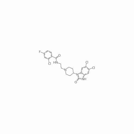 O=C(NCCN1CCC(n2c(=O)[nH]c3cc(Cl)c(Cl)cc32)CC1)c1ccc(F)cc1Cl